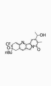 CCCCC1(OC(F)(F)F)CC=c2nc3c(cc2C1)cn1c(=O)c(C)c(C(C)O)cc31